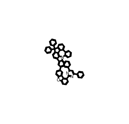 c1ccc(-c2cc(-c3ccccc3)nc(-c3cccc4oc5ccc(-c6ccc7c(c6)c6ccc8c9c6n7-c6ccccc6-c6cccc(c6-9)C8(c6ccccc6)c6ccccc6)cc5c34)n2)cc1